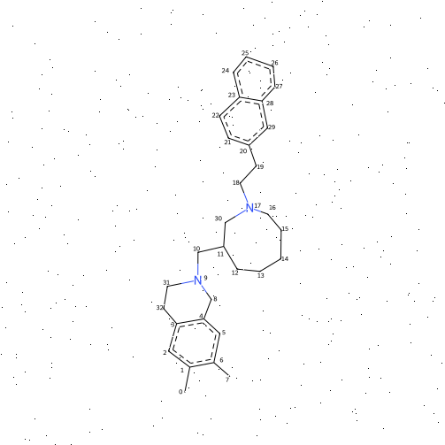 Cc1cc2c(cc1C)CN(CC1CCCCCN(CCc3ccc4ccccc4c3)C1)CC2